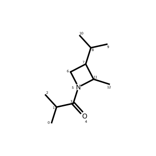 CC(C)C(=O)N1CC(C(C)C)C1C